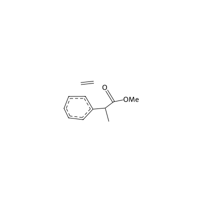 C=C.COC(=O)C(C)c1ccccc1